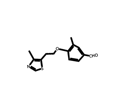 Cc1cc(C=O)ccc1OCCc1scnc1C